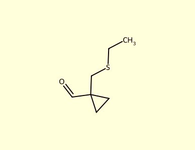 CCSCC1(C=O)CC1